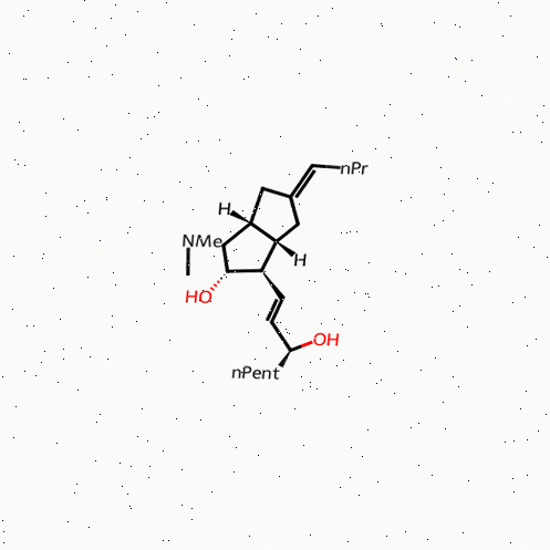 CCCC=C1C[C@H]2C[C@@H](O)[C@H](C=C[C@@H](O)CCCCC)[C@H]2C1.CNC